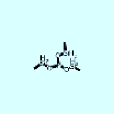 C[SiH2]OP(O[SiH2]C)O[SiH2]C